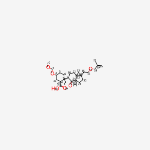 COCOC1CC[C@](C)(C2CC[C@]3(C)[C@@H](CCOCC(C)C)CC[C@H]3C2=O)[C@@H](C(=O)O)C1